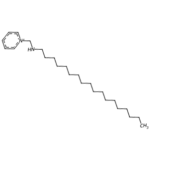 CCCCCCCCCCCCCCCCCCNC[n+]1ccccc1